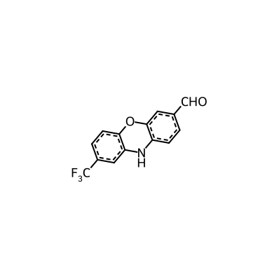 O=Cc1ccc2c(c1)Oc1ccc(C(F)(F)F)cc1N2